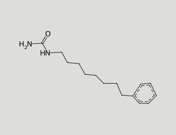 NC(=O)NCCCCCCCCc1ccccc1